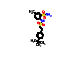 Cc1ccc(NS(=O)(=O)CCc2ccc(C(C)(C)C)cc2)c(S(N)(=O)=O)c1